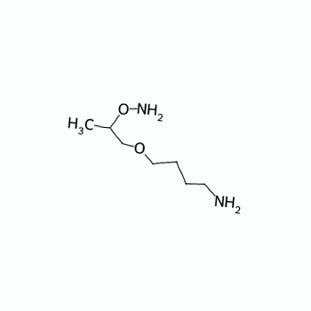 CC(COCCCCN)ON